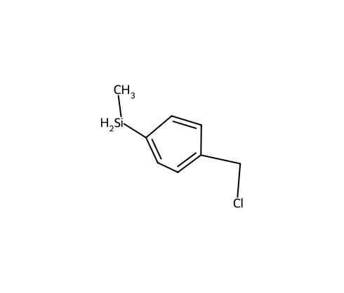 C[SiH2]c1ccc(CCl)cc1